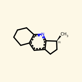 C[C@H]1CCc2cc3c(nc21)CCCC3